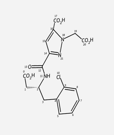 O=C(O)C[C@@H](Cc1ccccc1Cl)NC(=O)c1cc(C(=O)O)n(CC(=O)O)n1